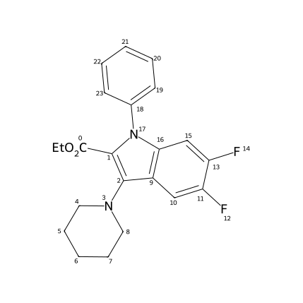 CCOC(=O)c1c(N2CCCCC2)c2cc(F)c(F)cc2n1-c1ccccc1